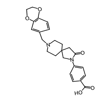 O=C(O)c1ccc(N2CC3(CCN(Cc4ccc5c(c4)OCCO5)CC3)CC2=O)cc1